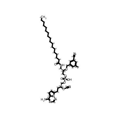 CCCCCCCCCCCCCCCCCC(=O)NC[C@H](COP(=O)(O)OC[C@H](CCc1ccc2c(N)ncnn12)OC#N)OCc1cc(F)cc(C#N)c1